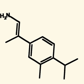 C/C(=C\N)c1ccc(C(C)C)c(C)c1